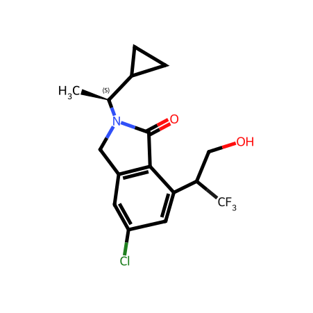 C[C@@H](C1CC1)N1Cc2cc(Cl)cc(C(CO)C(F)(F)F)c2C1=O